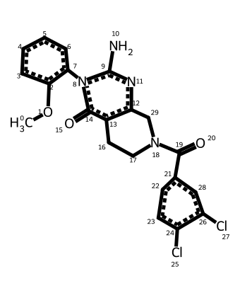 COc1ccccc1-n1c(N)nc2c(c1=O)CCN(C(=O)c1ccc(Cl)c(Cl)c1)C2